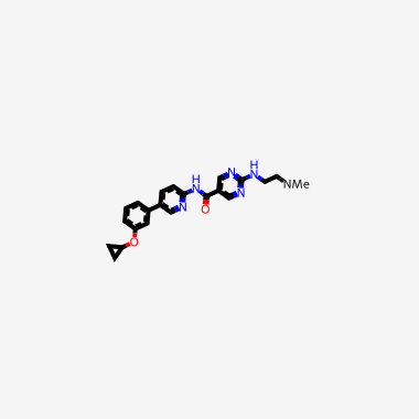 CNCCNc1ncc(C(=O)Nc2ccc(-c3cccc(OC4CC4)c3)cn2)cn1